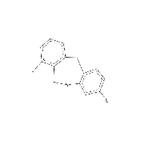 Fc1cccc2c1CSc1cc(Cl)ccc1C2